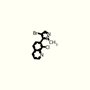 Cn1ncc(Br)c1-c1ccc2cccnc2c1Cl